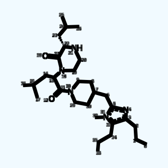 CCCc1nc(CC2CCN(C(=O)C(CC(C)C)N3CCN[C@@H](CC(C)C)C3=O)CC2)n(C)c1CCC